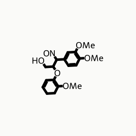 COC1=C(OC(CO)C(N=O)c2ccc(OC)c(OC)c2)C=CCC1